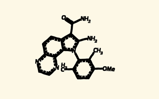 COc1ccc(C)c(-n2c(N)c(C(N)=O)c3ccc4nccnc4c32)c1C